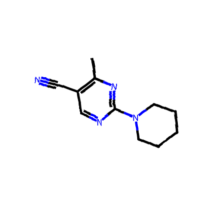 Cc1nc(N2CCCCC2)ncc1C#N